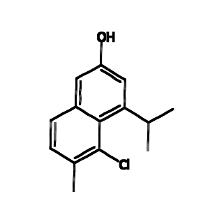 Cc1ccc2cc(O)cc(C(C)C)c2c1Cl